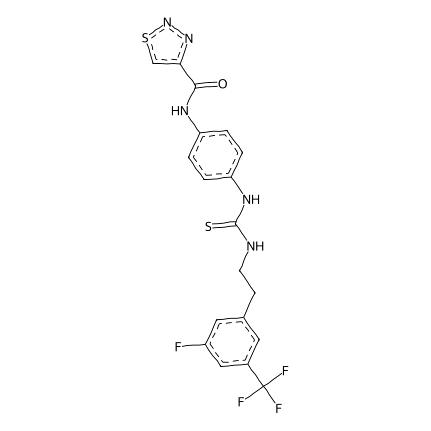 O=C(Nc1ccc(NC(=S)NCCc2cc(F)cc(C(F)(F)F)c2)cc1)c1csnn1